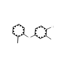 Cc1cc(Nc2ccccc2C)ccc1N